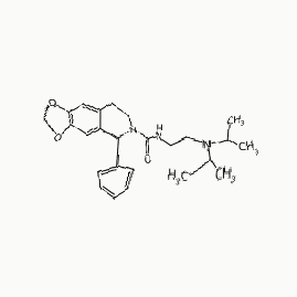 CC(C)N(CCNC(=O)N1CCc2cc3c(cc2C1c1ccccc1)OCO3)C(C)C